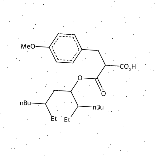 CCCCC(CC)CC(OC(=O)C(Cc1ccc(OC)cc1)C(=O)O)C(CC)CCCC